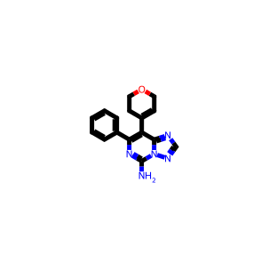 Nc1nc(-c2ccccc2)c(C2=CCOCC2)c2ncnn12